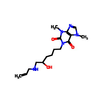 C=CCNCC(O)CCCCn1c(=O)c2c(ncn2C)n(C)c1=O